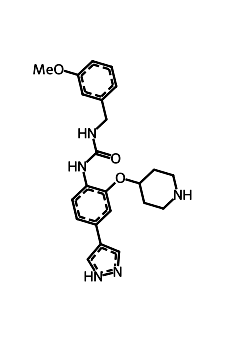 COc1cccc(CNC(=O)Nc2ccc(-c3cn[nH]c3)cc2OC2CCNCC2)c1